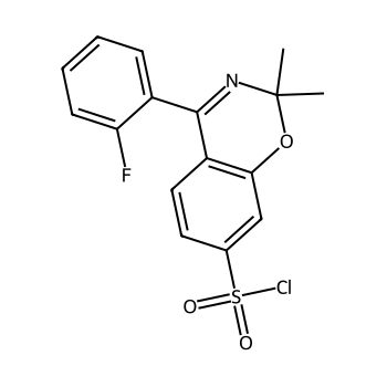 CC1(C)N=C(c2ccccc2F)c2ccc(S(=O)(=O)Cl)cc2O1